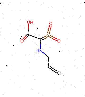 C=CCNC(C(=O)O)=S(=O)=O